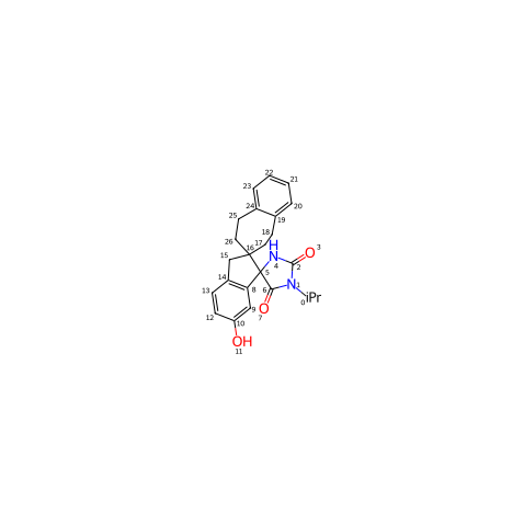 CC(C)N1C(=O)NC2(C1=O)c1cc(O)ccc1CC21CCc2ccccc2CC1